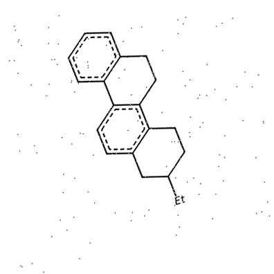 CCC1CCc2c(ccc3c2CCc2ccccc2-3)C1